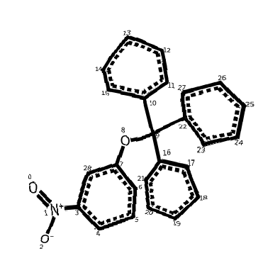 O=[N+]([O-])c1[c]ccc(OC(c2ccccc2)(c2ccccc2)c2ccccc2)c1